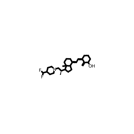 C=C1/C(=C\C=C2/CCCC3(C)C2CCC3[C@@H](C)CN2CCC(C(F)F)CC2)CCCC1O